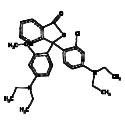 CCN(CC)c1ccc(C2(c3ccc(N(CC)CC)cc3OC)OC(=O)c3cccnc32)c(Cl)c1